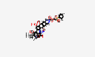 C[C@@H](O)[C@@]12C[C@]13c1cc(O)c4c(c1N[C@H]2C#C/C=C\C(C)(C)[C@H]3O)C(=O)c1cc2c(cc1C4=O)CN(C(=O)OCCS(=O)(=O)c1ccccc1)C2